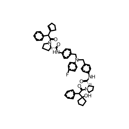 O=C(Nc1ccc(CN(Cc2ccc(NC(=O)[C@@H]3CCCN3C(=O)C(c3ccccc3)C3(O)CCCC3)cc2)c2ccc(F)cc2)cc1)[C@@H]1CCCN1C(=O)C(C1=CCCC1)c1ccccc1